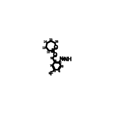 N=Nc1ccc(F)cc1COB1CCCCCO1